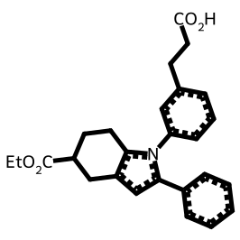 CCOC(=O)C1CCc2c(cc(-c3ccccc3)n2-c2cccc(CCC(=O)O)c2)C1